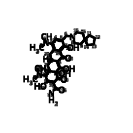 CN(C)c1cc(CN2CCC3(CCCC3)CC2)c(O)c2c1C[C@H]1C[C@H]3[C@H](N(C)C)C(O)=C(C(N)=O)C(=O)[C@@]3(O)C(O)=C1C2=O